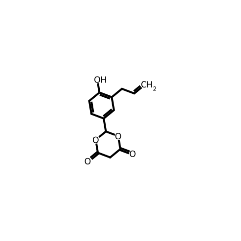 C=CCc1cc(C2OC(=O)CC(=O)O2)ccc1O